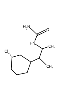 CC(NC(N)=O)C(C)C1CCC[C@H](Cl)C1